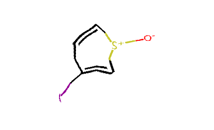 [O-][s+]1ccc(I)c1